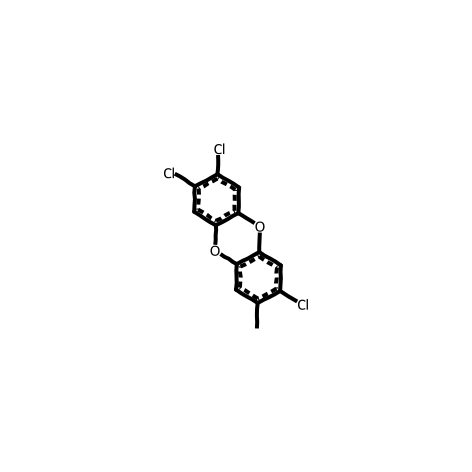 Cc1cc2c(cc1Cl)Oc1cc(Cl)c(Cl)cc1O2